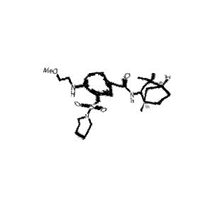 COCCNc1ccc(C(=O)NC2C(C)(C)[C@@H]3CC[C@@]2(C)C3)cc1S(=O)(=O)N1CCCC1